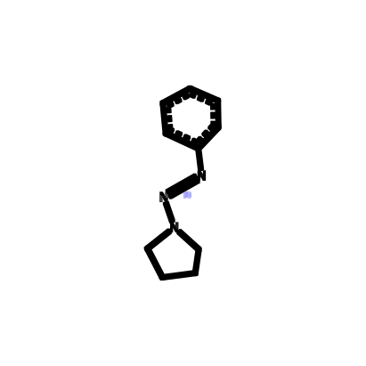 c1ccc(/N=N/N2CCCC2)cc1